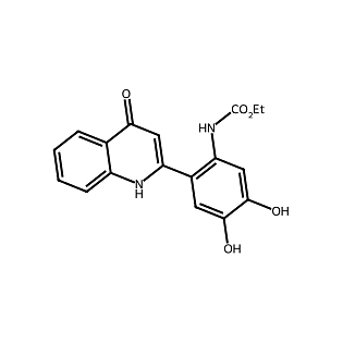 CCOC(=O)Nc1cc(O)c(O)cc1-c1cc(=O)c2ccccc2[nH]1